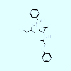 O=C(COc1ccccc1)N[C@@H]1C(=O)N(S(=O)(=O)c2ccccc2)[C@H]1CC(O)CCl